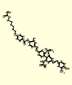 CCC(C)C(=O)OCCCCCCOc1ccc(C(=O)Oc2ccc(N=Nc3ccc(-c4ccc(N=Nc5ccc(O)c(C(F)(F)F)c5)cc4N[SH](=O)=O)c(S(N)(=O)=O)c3)cc2C)cc1